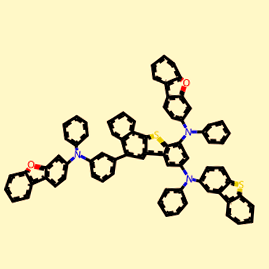 c1ccc(N(c2cccc(-c3cc4c5cc(N(c6ccccc6)c6ccc7sc8ccccc8c7c6)cc(N(c6ccccc6)c6ccc7c(c6)oc6ccccc67)c5sc4c4ccccc34)c2)c2ccc3c(c2)oc2ccccc23)cc1